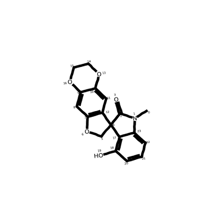 CN1C(=O)C2(COc3cc4c(cc32)OCCO4)c2c(O)cccc21